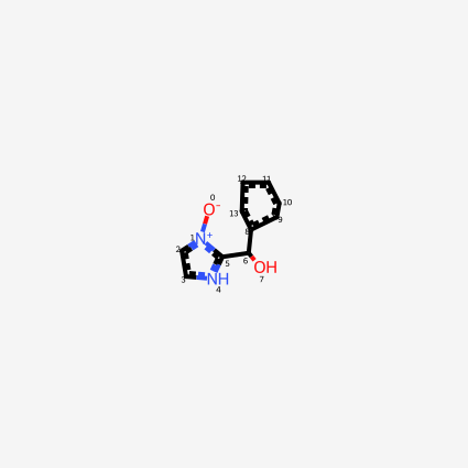 [O-][n+]1cc[nH]c1C(O)c1ccccc1